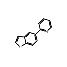 [c]1cccnc1-c1ccc2occc2c1